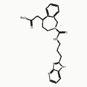 COC(=O)CC1CCN(C(=O)NCCCc2nc3ncccc3[nH]2)Cc2ccccc21